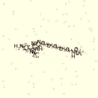 CC(C)(C)OC(=O)NCCOCCOCCOCCOCCOc1cc(Nc2c(C#N)c(-c3ccc(N)cc3)nn2C(C)(C)C)ccn1